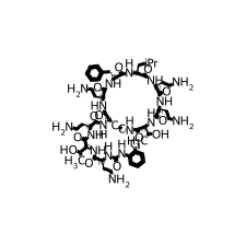 CC(C)C[C@@H]1NC(=O)[C@@H](Cc2ccccc2)NC(=O)[C@H](CCN)NC(=O)[C@@H](NC(=O)[C@H](CCN)NC(=O)[C@@H](NC(=O)[C@H](CCN)NC(=O)Nc2ccccc2Cl)C(C)O)CCNC(=O)[C@H](C(C)O)NC(=O)[C@H](CCN)NC(=O)[C@H](CCN)NC1=O